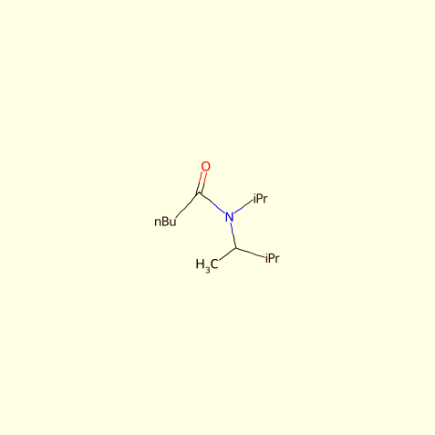 CCCCC(=O)N(C(C)C)C(C)C(C)C